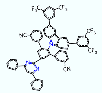 N#Cc1cccc(-c2cc(-c3nc(-c4ccccc4)cc(-c4ccccc4)n3)cc(-c3cccc(C#N)c3)c2-n2c3ccc(-c4cc(C(F)(F)F)cc(C(F)(F)F)c4)cc3c3cc(-c4cc(C(F)(F)F)cc(C(F)(F)F)c4)ccc32)c1